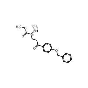 CN[C@@H](CCC(=O)c1ccc(OCc2ccccc2)cc1)C(=O)OC